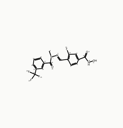 CN(/N=C/c1ccc(C(=O)NO)cc1F)C(=O)c1cccc(C(F)(F)F)c1